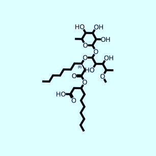 CCCCCCCC(CC(=O)O)OC(=O)C[C@@H](CCCCCCC)OC(OC1OC(C)C(O)C(O)C1O)C(O)C(O)C(C)OC